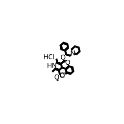 COC(=O)C1=C(C)NC(C)=C(C(=O)OC(CN2CCCCC2)c2ccccc2)C1c1ccccc1Cl.Cl